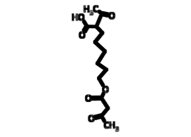 CC(=O)CC(=O)OCCCCCCC(C(C)=O)C(=O)O